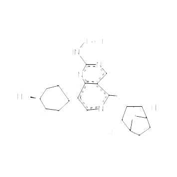 CCCC(C)Nc1ncc2c(O[C@@H]3C[C@H]4CC[C@@H](C3)O4)ncc([C@H]3CC[C@H](O)CC3)c2n1